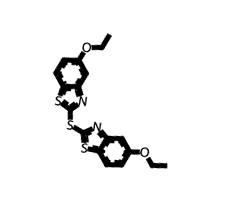 CCOc1ccc2sc(Sc3nc4cc(OCC)ccc4s3)nc2c1